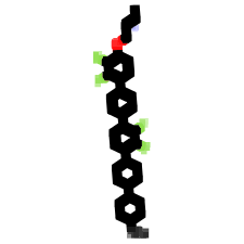 C/C=C/COc1ccc(-c2ccc(-c3ccc(C4CCC(C5CCC(CCCC)CC5)CC4)c(F)c3F)cc2)c(F)c1F